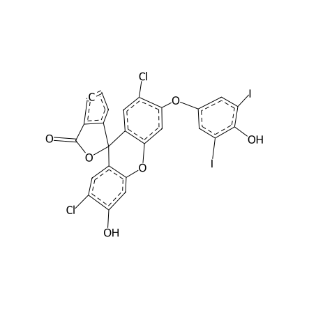 O=C1OC2(c3cc(Cl)c(O)cc3Oc3cc(Oc4cc(I)c(O)c(I)c4)c(Cl)cc32)c2ccccc21